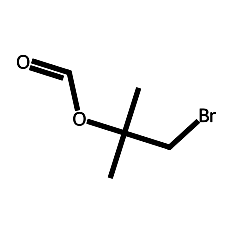 CC(C)(CBr)OC=O